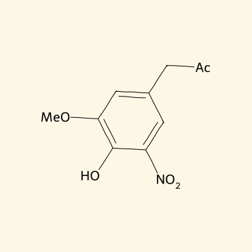 COc1cc(CC(C)=O)cc([N+](=O)[O-])c1O